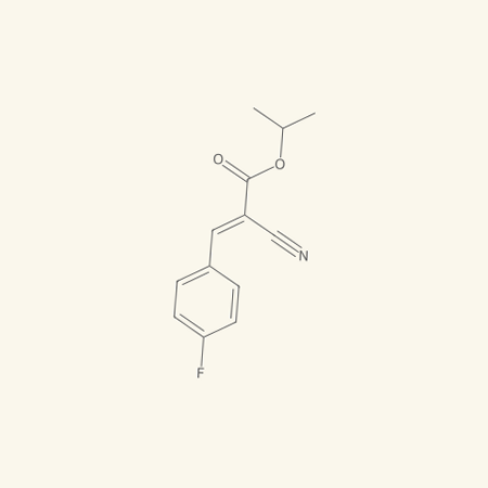 CC(C)OC(=O)/C(C#N)=C/c1ccc(F)cc1